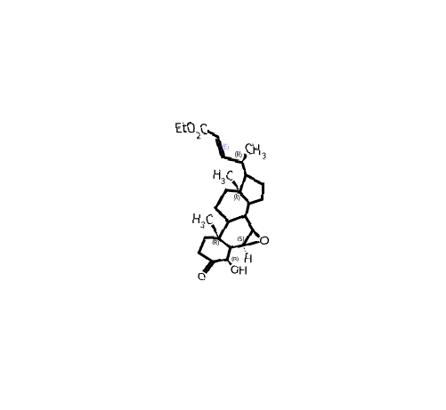 CCOC(=O)/C=C/[C@@H](C)C1CCC2C3C4O[C@H]4C4[C@@H](O)C(=O)CC[C@]4(C)C3CC[C@@]21C